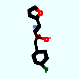 [O-][S+](/C=C/c1ccco1)Cc1ccc(F)cc1